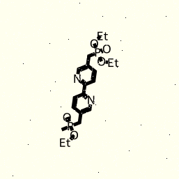 CCOP(C)(=O)Cc1ccc(-c2ccc(CP(=O)(OCC)OCC)cn2)nc1